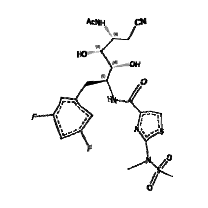 CC(=O)N[C@H](CC#N)[C@@H](O)[C@H](O)[C@H](Cc1cc(F)cc(F)c1)NC(=O)c1csc(N(C)S(C)(=O)=O)n1